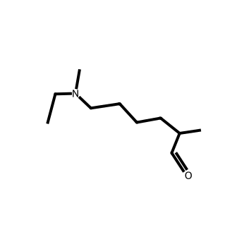 CCN(C)CCCCC(C)C=O